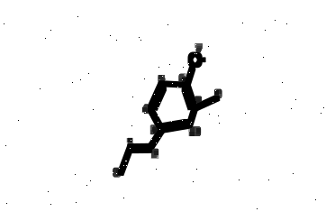 CC=Cc1ccc([O])c(C)c1